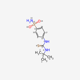 CC(C)(C)NC(=S)Nc1ccc(S(N)(=O)=O)cc1